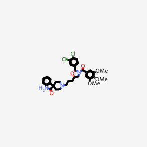 COc1cc(C(=O)N2CC(CCCN3CCC(C(N)=O)(c4ccccc4)CC3)OC2c2ccc(Cl)c(Cl)c2)cc(OC)c1OC